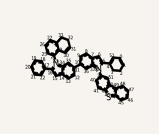 C1=CCCC(c2cc3ccc(-c4ccc5cc(-c6ccccc6)n(-c6cccc7c6C=CCC7)c5c4)cc3n2-c2ccc3sc4ccccc4c3c2)=C1